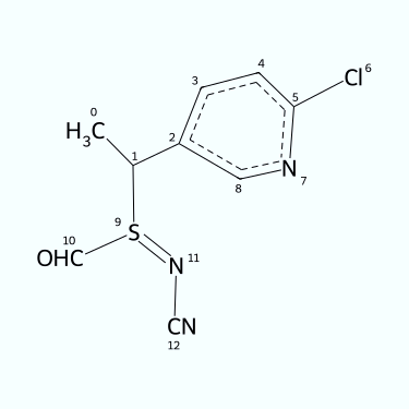 CC(c1ccc(Cl)nc1)S(C=O)=NC#N